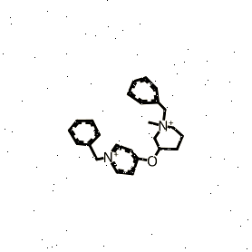 C[N+]1(Cc2ccccc2)CCCC(Oc2cc[n+](Cc3ccccc3)cc2)C1